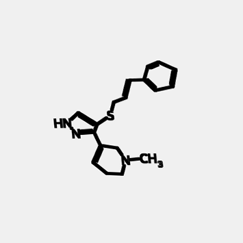 CN1CCC=C(c2n[nH]cc2SCC=Cc2ccccc2)C1